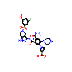 COc1cc(F)cc(S(=O)(=O)N2CCc3[nH]nc(NC(=O)c4cc(-n5ccc(C(=O)O)c5)c(N5CCN(C)CC5)cc4C(N)=O)c3C2)c1